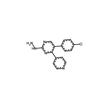 NNc1ncc(-c2ccc(Cl)cc2)c(-c2ccncc2)n1